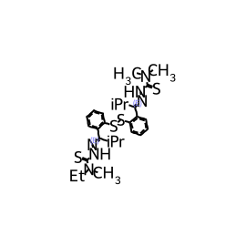 CCN(C)C(=S)N/N=C(/c1ccccc1SSc1ccccc1/C(=N/NC(=S)N(C)C)C(C)C)C(C)C